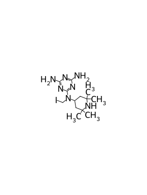 CC1(C)CC(N(CI)c2nc(N)nc(N)n2)CC(C)(C)N1